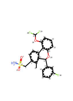 Cc1c(CS(N)(=O)=O)ccc2c1C(c1cccc(F)c1)Oc1cccc(OC(F)F)c1-2